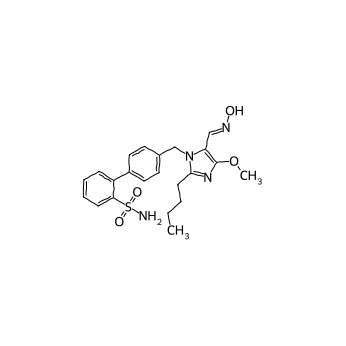 CCCCc1nc(OC)c(C=NO)n1Cc1ccc(-c2ccccc2S(N)(=O)=O)cc1